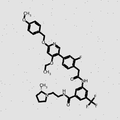 CCOc1cc(OCc2ccc(OC)cc2)ncc1-c1ccc(CC(=O)Nc2cc(C(=O)NCCN3CCC[C@@H]3C)cc(C(F)(F)F)c2)c(F)c1